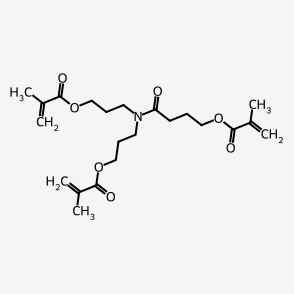 C=C(C)C(=O)OCCCC(=O)N(CCCOC(=O)C(=C)C)CCCOC(=O)C(=C)C